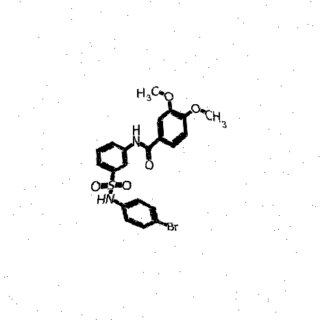 COc1ccc(C(=O)Nc2cccc(S(=O)(=O)Nc3ccc(Br)cc3)c2)cc1OC